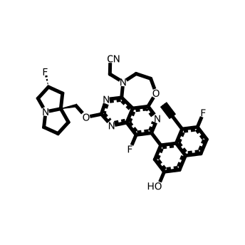 C#Cc1c(F)ccc2cc(O)cc(-c3nc4c5c(nc(OC[C@@]67CCCN6C[C@H](F)C7)nc5c3F)N(CC#N)CCO4)c12